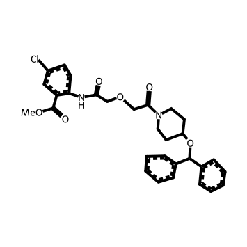 COC(=O)c1cc(Cl)ccc1NC(=O)COCC(=O)N1CCC(OC(c2ccccc2)c2ccccc2)CC1